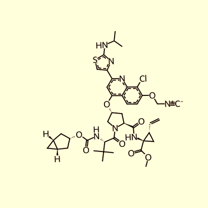 [C-]#[N+]COc1ccc2c(O[C@@H]3C[C@@H](C(=O)N[C@]4(C(=O)OC)C[C@H]4C=C)N(C(=O)[C@@H](NC(=O)O[C@@H]4C[C@@H]5C[C@@H]5C4)C(C)(C)C)C3)cc(-c3csc(NC(C)C)n3)nc2c1Cl